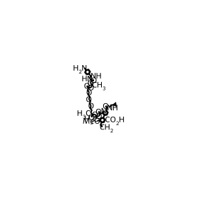 C=Cc1cc(C(=O)O)c(-c2ccc(C(=O)NCC3CC3)nc2C(=O)OC(C)OC(=O)C(C)CCOCCOCCOCC(=O)OC(C)OC(=O)NC(=N)c2ccc(N)cc2)cc1OC